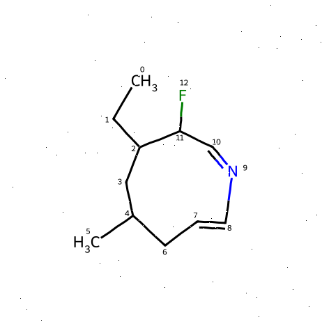 CCC1CC(C)C/C=C/N=C\C1F